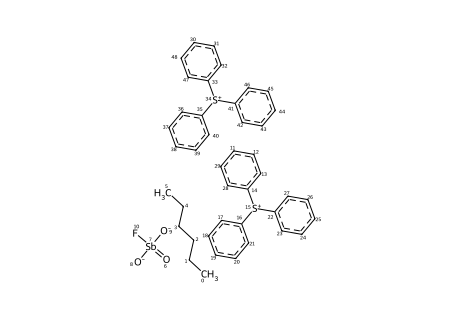 CCCCCC.[O]=[Sb]([O-])([O-])[F].c1ccc([S+](c2ccccc2)c2ccccc2)cc1.c1ccc([S+](c2ccccc2)c2ccccc2)cc1